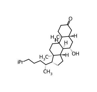 CC(C)CCC[C@@H](C)[C@H]1CC[C@H]2[C@@H]3[C@@H](O)C[C@H]4CC(=O)CC[C@]4(C)[C@H]3CC[C@]12C